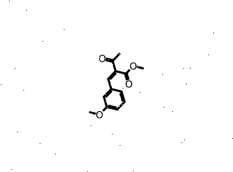 COC(=O)C(=Cc1cccc(OC)c1)C(C)=O